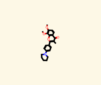 COc1ccc2c(=O)c(C)c(-c3ccc(N4CCCCC4)cc3)oc2c1OC